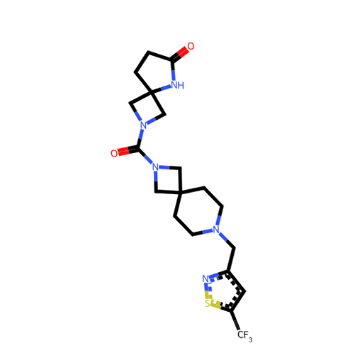 O=C1CCC2(CN(C(=O)N3CC4(CCN(Cc5cc(C(F)(F)F)sn5)CC4)C3)C2)N1